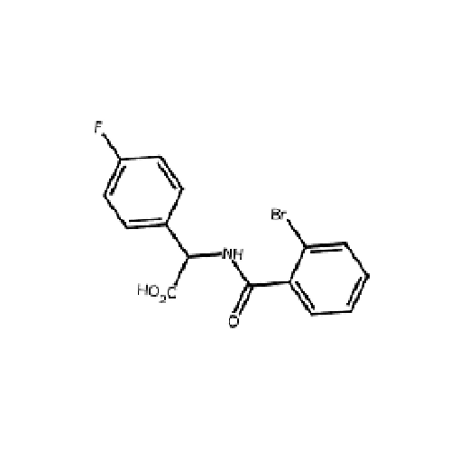 O=C(NC(C(=O)O)c1ccc(F)cc1)c1ccccc1Br